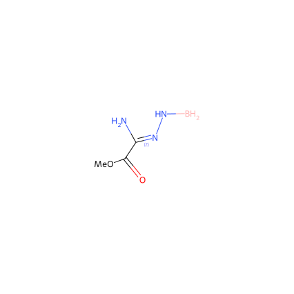 BN/N=C(\N)C(=O)OC